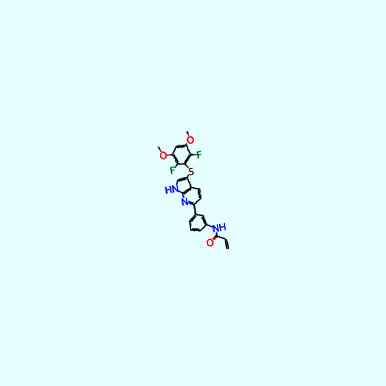 C=CC(=O)Nc1cccc(-c2ccc3c(Sc4c(F)c(OC)cc(OC)c4F)c[nH]c3n2)c1